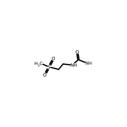 CS(=O)(=O)CCNC([NH])=O